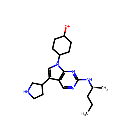 CCC[C@H](C)Nc1ncc2c(C3CCNC3)cn(C3CCC(O)CC3)c2n1